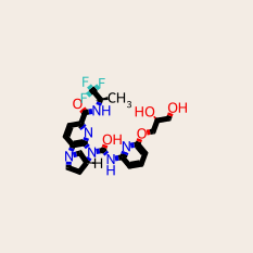 C[C@@H](NC(=O)c1ccc2c(n1)N(C(O)Nc1cccc(OC[C@H](O)CO)n1)[C@H]1CCN2C1)C(F)(F)F